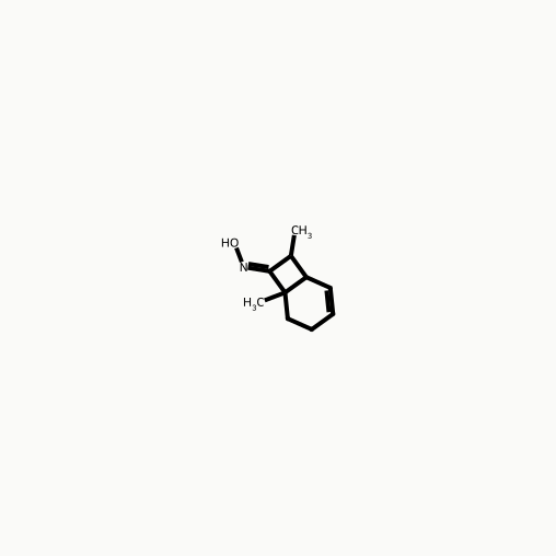 CC1C(=NO)C2(C)CCC=CC12